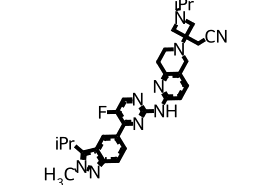 CC(C)c1c2cc(-c3nc(Nc4ccc5c(n4)CCN(C4(CC#N)CN(C(C)C)C4)C5)ncc3F)ccc2nn1C